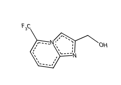 OCc1cn2c(C(F)(F)F)cccc2n1